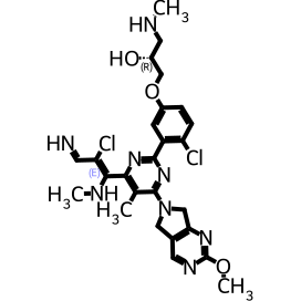 CNC[C@@H](O)COc1ccc(Cl)c(-c2nc(/C(NC)=C(\Cl)C=N)c(C)c(N3Cc4cnc(OC)nc4C3)n2)c1